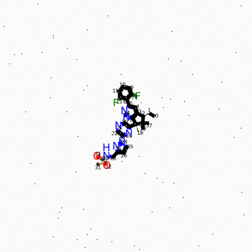 CC[C@H]1c2cc(-c3c(F)cccc3F)nnc2[C@](C)(c2cncc(-n3ccc(CNS(C)(=O)=O)n3)n2)C1(C)C